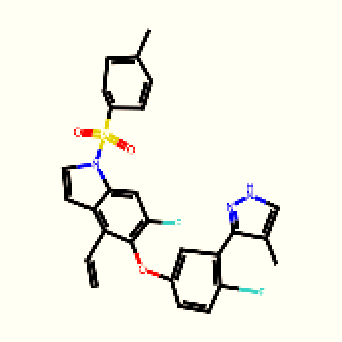 C=Cc1c(Oc2ccc(F)c(-c3n[nH]cc3C)c2)c(F)cc2c1ccn2S(=O)(=O)c1ccc(C)cc1